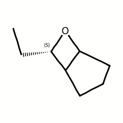 CC[C@@H]1OC2CCCC21